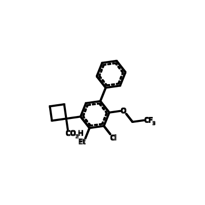 CCc1c(C2(C(=O)O)CCC2)cc(-c2ccccc2)c(OCC(F)(F)F)c1Cl